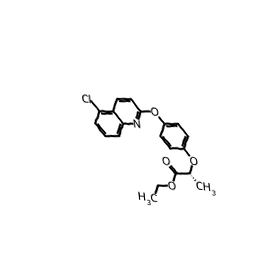 CCOC(=O)[C@@H](C)Oc1ccc(Oc2ccc3c(Cl)cccc3n2)cc1